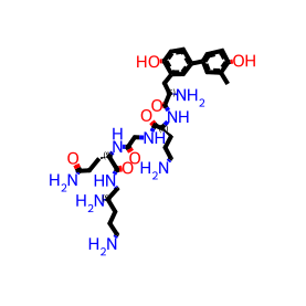 Cc1cc(-c2ccc(O)c(C[C@H](N)C(=O)N[C@@H](CCCN)C(=O)NCC(=O)N[C@@H](CCC(N)=O)C(=O)NC[C@@H](N)CCCN)c2)ccc1O